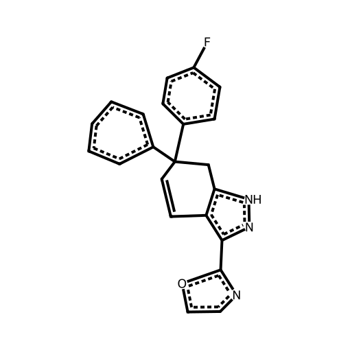 Fc1ccc(C2(c3ccccc3)C=Cc3c(-c4ncco4)n[nH]c3C2)cc1